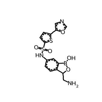 NCC1OB(O)c2cc(NS(=O)(=O)c3ccc(-c4cnco4)s3)ccc21